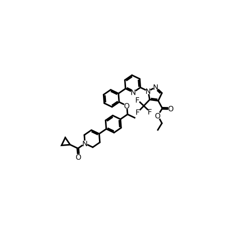 CCOC(=O)c1cnn(-c2cccc(-c3ccccc3OC(C)c3ccc(C4=CCN(C(=O)C5CC5)CC4)cc3)n2)c1C(F)(F)F